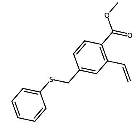 C=Cc1cc(CSc2ccccc2)ccc1C(=O)OC